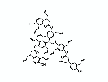 C=CCc1cc(C(CC=C)CC(=O)Oc2cc(CC=C)c(C(C)CC(c3cc(CC=C)c(OC(=O)CC(CC=C)c4ccc(O)c(CC=C)c4)cc3CC=C)c3cc(CC=C)c(OC(=O)CC(CC=C)c4ccc(O)c(CC=C)c4)cc3CC=C)cc2CC=C)ccc1O